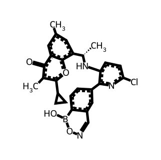 Cc1cc([C@H](C)Nc2ccc(Cl)nc2-c2ccc3c(c2)C=NOB3O)c2oc(C3CC3)c(C)c(=O)c2c1